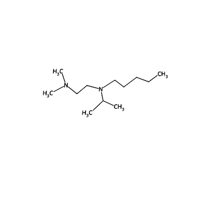 CCCCCN(CCN(C)C)C(C)C